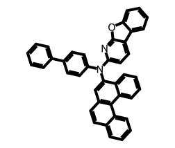 c1ccc(-c2ccc(N(c3ccc4c(n3)oc3ccccc34)c3cc4ccc5ccccc5c4c4ccccc34)cc2)cc1